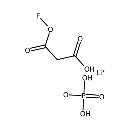 O=C(O)CC(=O)OF.O=P([O-])(O)O.[Li+]